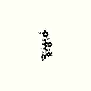 Cc1ccc(NC(=O)c2c(C)c(C(=O)C(=O)NC3(c4cn(C)nn4)CC(F)(F)C3)n3c2CCC3)cc1C#N